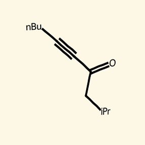 CCCCC#CC(=O)CC(C)C